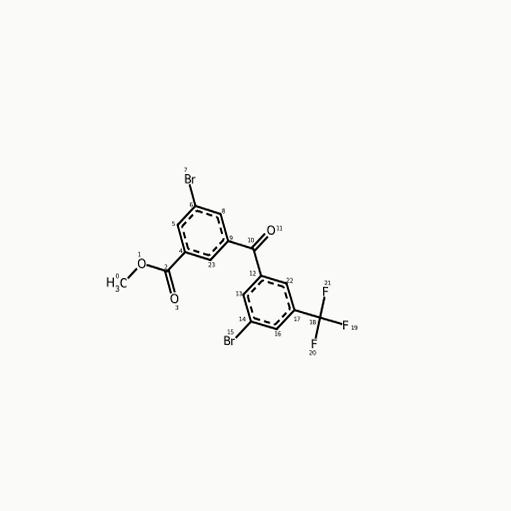 COC(=O)c1cc(Br)cc(C(=O)c2cc(Br)cc(C(F)(F)F)c2)c1